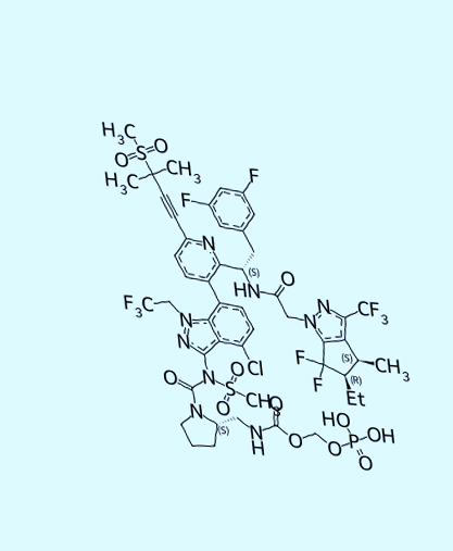 CC[C@@H]1[C@H](C)c2c(C(F)(F)F)nn(CC(=O)N[C@@H](Cc3cc(F)cc(F)c3)c3nc(C#CC(C)(C)S(C)(=O)=O)ccc3-c3ccc(Cl)c4c(N(C(=O)N5CCC[C@H]5CNC(=O)OCOP(=O)(O)O)S(C)(=O)=O)nn(CC(F)(F)F)c34)c2C1(F)F